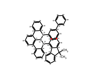 CC1(C)c2ccccc2-c2c(N3B4c5c(cccc5-c5ccccc53)-c3ccccc3N4c3cccc(-c4ccccc4)c3)cccc21